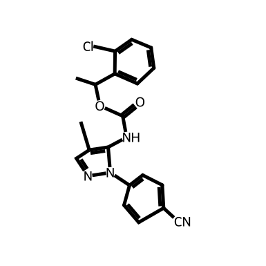 Cc1cnn(-c2ccc(C#N)cc2)c1NC(=O)OC(C)c1ccccc1Cl